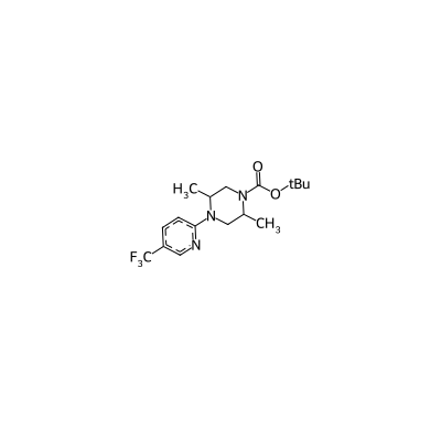 CC1CN(c2ccc(C(F)(F)F)cn2)C(C)CN1C(=O)OC(C)(C)C